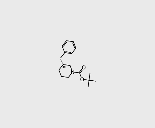 CC(C)(C)OC(=O)N1CCC[C@H](Cc2ccccc2)C1